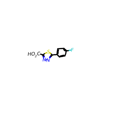 O=C(O)c1nnc(-c2ccc(F)cc2)s1